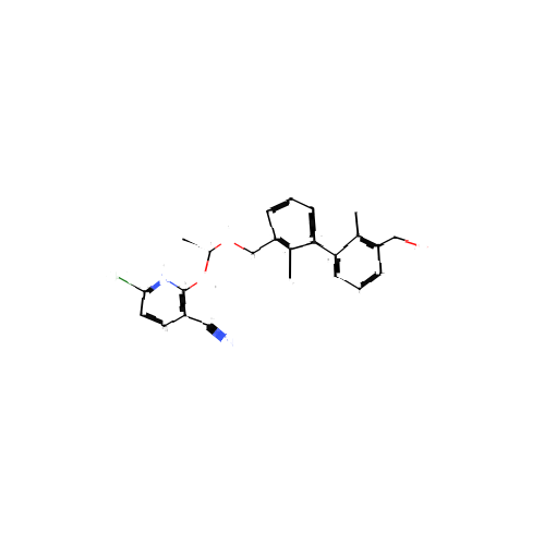 Cc1c(CO)cccc1-c1cccc(CO[C@H](C)Oc2nc(Cl)ccc2C#N)c1C